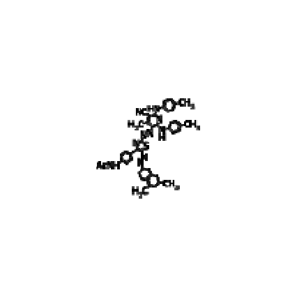 CC(=O)Nc1ccc(-c2nc(N=Nc3c(Nc4ccc(C)cc4)nc(Nc4ccc(C)cc4)c(C#N)c3C)sc2N=Nc2ccc3c(C)cc(C)cc3c2)cc1